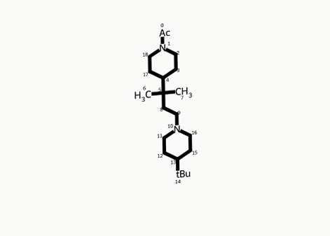 CC(=O)N1CCC(C(C)(C)CCN2CCC(C(C)(C)C)CC2)CC1